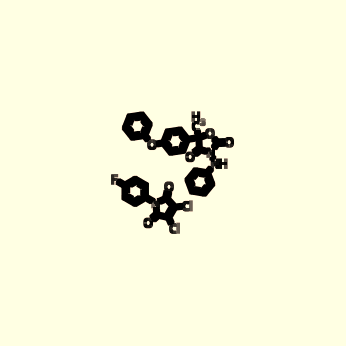 CC1(c2ccc(Oc3ccccc3)cc2)OC(=O)N(Nc2ccccc2)C1=O.O=C1C(Cl)=C(Cl)C(=O)N1c1ccc(F)cc1